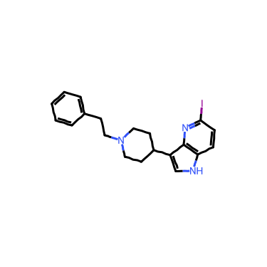 Ic1ccc2[nH]cc(C3CCN(CCc4ccccc4)CC3)c2n1